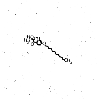 CCCCCCCCCCCCOc1ccc(C(=O)C(C)(C)O)cc1